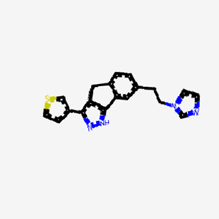 c1cn(CCc2ccc3c(c2)-c2[nH]nc(-c4ccsc4)c2C3)cn1